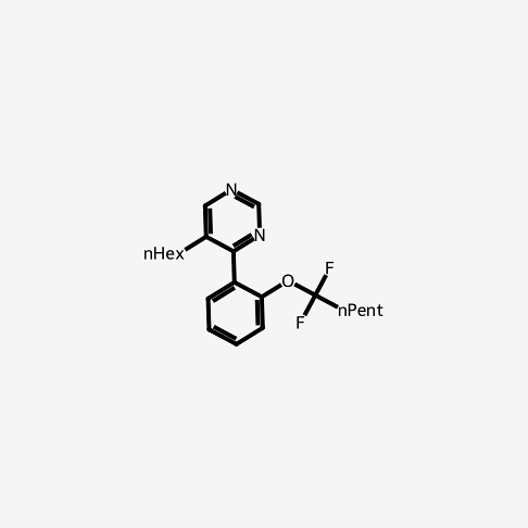 CCCCCCc1cncnc1-c1ccccc1OC(F)(F)CCCCC